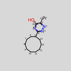 CC(C)c1nnc(C2CCCCCCCCC2)nc1O